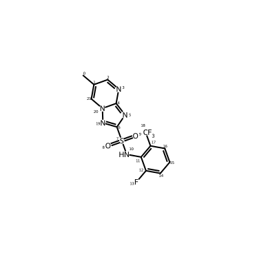 Cc1cnc2nc(S(=O)(=O)Nc3c(F)cccc3C(F)(F)F)nn2c1